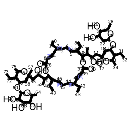 CCC1=C\C=C\C(CC)C(C(C)C(O)CC2(OC)CC(OC3CC(O)C(O)C(C)O3)C(CC)C(C)O2)OC(=O)/C=C/C(CC)=C/C=C/C(CC)C(C(C)C(O)CC2(C)CC(OC3OC(C)C(O)C(O)C3O)C(CC)C(C)O2)OC(=O)\C=C\1